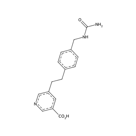 NC(=O)NCc1ccc(CCc2cncc(C(=O)O)c2)cc1